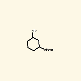 CC[CH]CCC1CCCC(CCC)C1